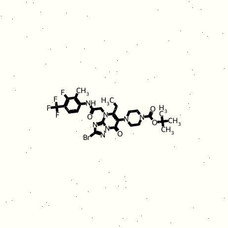 CCc1c(N2CCN(C(=O)OC(C)(C)C)CC2)c(=O)n2nc(Br)nc2n1CC(=O)Nc1ccc(C(F)(F)F)c(F)c1C